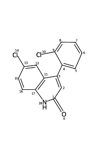 O=c1cc(-c2ccccc2Cl)c2cc(Cl)ccc2[nH]1